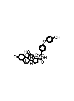 C[C@]12C=CC(=O)C=C1CC[C@H]1[C@@H]3CC[C@@](OC(=O)c4ccc(Sc5ccc(O)cc5)cc4)(C(=O)O)[C@@]3(C)C[C@H](O)C12F